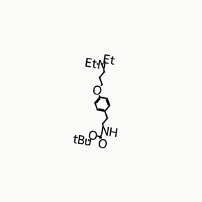 CCN(CC)CCCOc1ccc(CCNC(=O)OC(C)(C)C)cc1